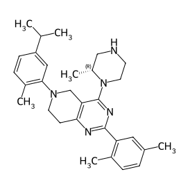 Cc1ccc(C)c(-c2nc3c(c(N4CCNC[C@H]4C)n2)CN(c2cc(C(C)C)ccc2C)CC3)c1